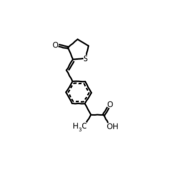 CC(C(=O)O)c1ccc(/C=C2\SCCC2=O)cc1